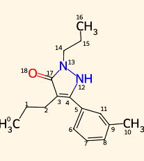 CCCc1c(-c2cccc(C)c2)[nH]n(CCC)c1=O